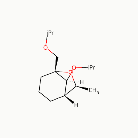 CC(C)OC[C@@]12CCC[C@@H]([C@H](C)O1)[C@@H]2OC(C)C